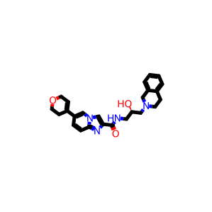 O=C(NC[C@H](O)CN1CCc2ccccc2C1)c1cn2cc(C3=CCOCC3)ccc2n1